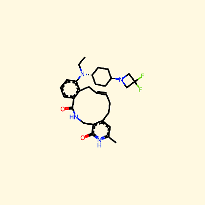 CCN(c1cccc2c1C/C=C/CCc1cc(C)[nH]c(=O)c1CNC2=O)[C@H]1CC[C@H](N2CC(F)(F)C2)CC1